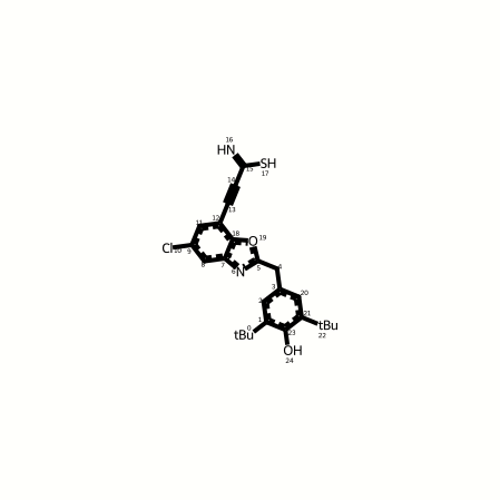 CC(C)(C)c1cc(Cc2nc3cc(Cl)cc(C#CC(=N)S)c3o2)cc(C(C)(C)C)c1O